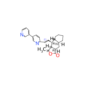 C[C@H]1OC(=O)[C@@H]2C[C@@H]3CCCC[C@H]3[C@H](/C=C/c3ccc(-c4cccnc4)cn3)[C@H]12